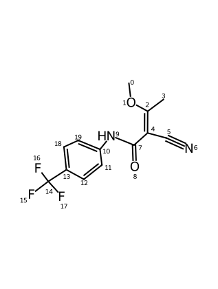 COC(C)=C(C#N)C(=O)Nc1ccc(C(F)(F)F)cc1